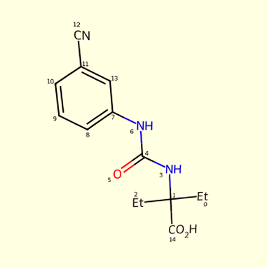 CCC(CC)(NC(=O)Nc1cccc(C#N)c1)C(=O)O